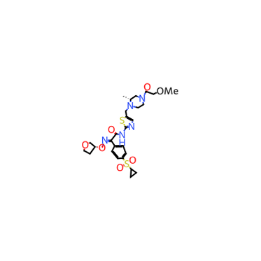 COCC(=O)N1CCN(Cc2cnc(NC(=O)/C(=N/O[C@@H]3CCOC3)c3ccc(S(=O)(=O)C4CC4)cc3)s2)[C@H](C)C1